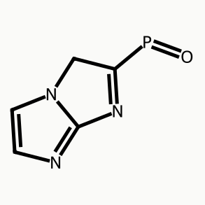 O=PC1=Nc2nccn2C1